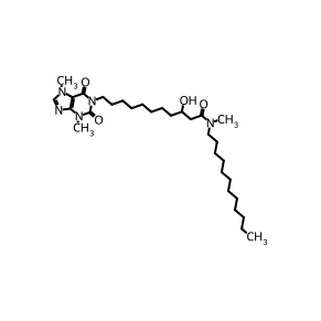 CCCCCCCCCCCCN(C)C(=O)CC(O)CCCCCCCCn1c(=O)c2c(ncn2C)n(C)c1=O